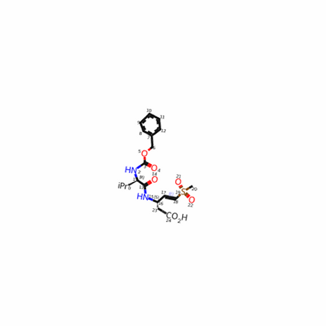 CC(C)[C@@H](NC(=O)OCc1ccccc1)C(=O)N[C@H](/C=C/S(C)(=O)=O)CC(=O)O